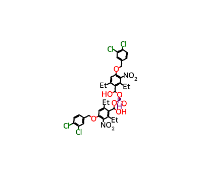 CCc1cc(OCc2ccc(Cl)c(Cl)c2)c([N+](=O)[O-])c(CC)c1C(O)O[PH](=O)OC(O)c1c(CC)cc(OCc2ccc(Cl)c(Cl)c2)c([N+](=O)[O-])c1CC